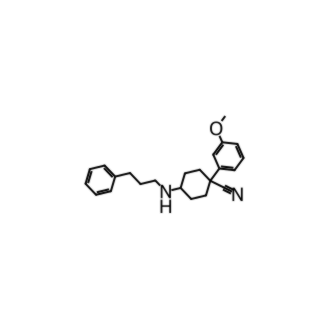 COc1cccc(C2(C#N)CCC(NCCCc3ccccc3)CC2)c1